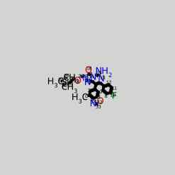 Cc1cc(-c2c(-c3ccc(F)cc3)nc(N)n3c(=O)n(COCC[Si](C)(C)C)nc23)cc2ocnc12